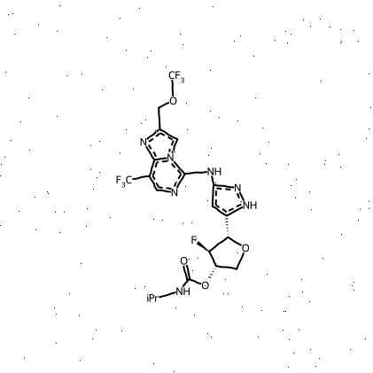 CC(C)NC(=O)O[C@H]1CO[C@@H](c2cc(Nc3ncc(C(F)(F)F)c4nc(COC(F)(F)F)cn34)n[nH]2)[C@@H]1F